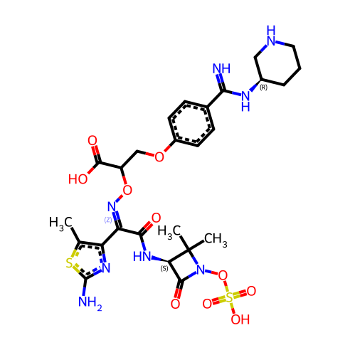 Cc1sc(N)nc1/C(=N/OC(COc1ccc(C(=N)N[C@@H]2CCCNC2)cc1)C(=O)O)C(=O)N[C@@H]1C(=O)N(OS(=O)(=O)O)C1(C)C